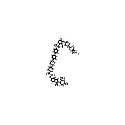 CC1(N)CCN(c2cnc(Sc3cccc(NC(=O)c4ccc(-c5ccc(N6CCN(c7ccc(C(=O)NCc8ccc9c(c8)CN(C8CCC(=O)NC8=O)C9=O)nc7)CC6)cc5)cc4)c3)cn2)CC1